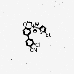 CCc1ccc(S(=O)(=O)N2CCOc3ccc(-c4ccc(C#N)c(Cl)c4)cc32)s1